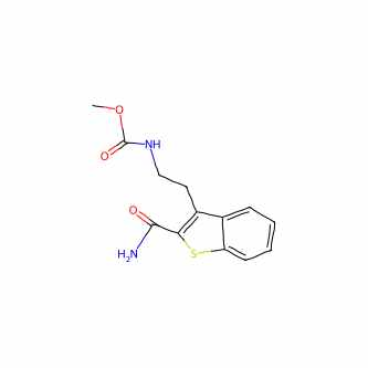 COC(=O)NCCc1c(C(N)=O)sc2ccccc12